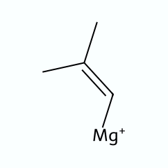 CC(C)=[CH][Mg+]